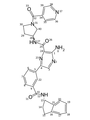 Nc1ncc(-c2cccc(C(=O)N[C@H]3CCc4ccccc43)c2)nc1C(=O)N[C@H]1CCN(C(=O)c2ccncc2)C1